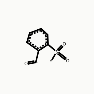 O=[C]c1ccccc1S(=O)(=O)F